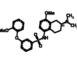 COc1ccccc1Oc1cccc(S(=O)(=O)Nc2ccc(OC)c3c2CC[C@H](N(C)C)C3)c1